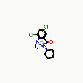 CN(C(=O)c1cc(Cl)cc(Cl)c1N)C1CCCCC1